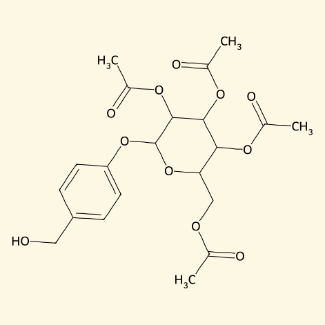 CC(=O)OCC1OC(Oc2ccc(CO)cc2)C(OC(C)=O)C(OC(C)=O)C1OC(C)=O